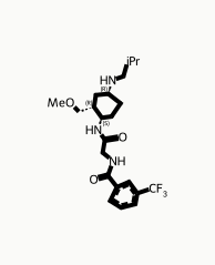 COC[C@@H]1C[C@H](NCC(C)C)CC[C@@H]1NC(=O)CNC(=O)c1cccc(C(F)(F)F)c1